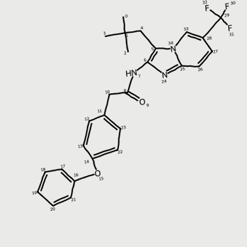 CC(C)(C)Cc1c(NC(=O)Cc2ccc(Oc3ccccc3)cc2)nc2ccc(C(F)(F)F)cn12